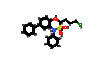 O=S1(=O)C(CCCCl)Oc2ccc(-c3ccccc3)cc2N1c1ccccc1